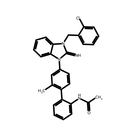 CC(=O)Nc1ccccc1-c1ccc(-n2c(=N)n(Cc3ccccc3Cl)c3ccccc32)cc1C